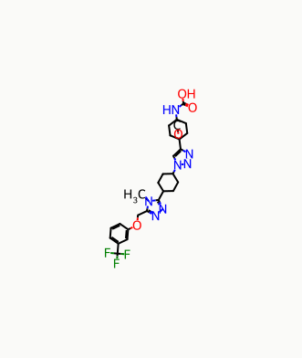 Cn1c(COc2cccc(C(F)(F)F)c2)nnc1C1CCC(n2cc(C34CCC(NC(=O)O)(CC3)CO4)nn2)CC1